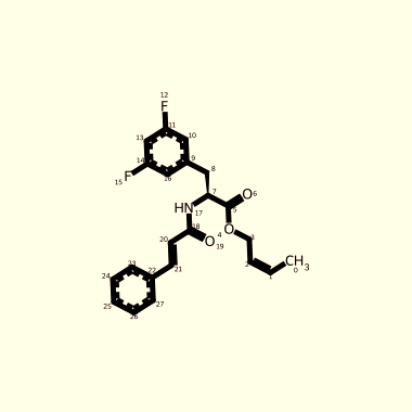 C/C=C\COC(=O)[C@H](Cc1cc(F)cc(F)c1)NC(=O)/C=C/c1ccccc1